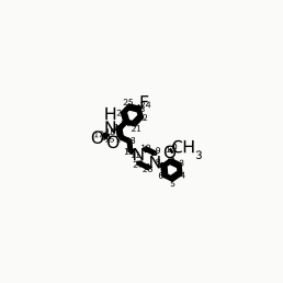 COc1ccccc1N1CCN(CCc2oc(=O)[nH]c2-c2ccc(F)cc2)CC1